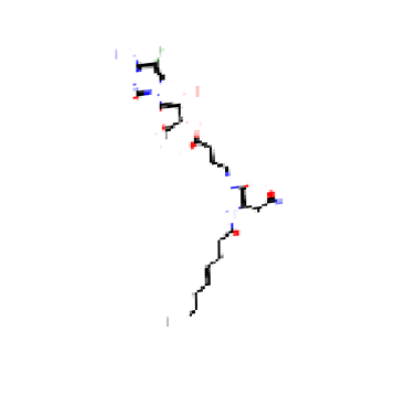 CCCCCCCC(=O)NC(CC(N)=O)C(=O)NCCCC(=O)O[C@H]1[C@@H](O)[C@H](n2cc(F)c(N)nc2=O)O[C@@H]1C